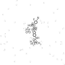 C[N+](C)(C)CC(=O)Nc1ccc2sc(S(=O)(=O)NCP(=O)(O)Oc3ccc(C#N)c(F)c3)cc2c1.O=C([O-])C(F)(F)F